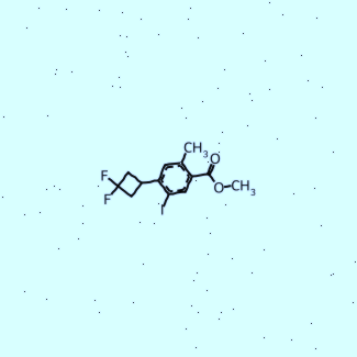 COC(=O)c1cc(I)c(C2CC(F)(F)C2)cc1C